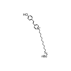 CCCCSSCCCCCCCCCCC[n+]1ccc(/C=C/c2ccc(O)cc2)cc1